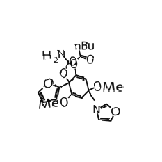 CCCCC(=O)OC1=CC(C)(OC)C=C(OC)C1(OC(N)=O)c1ccco1.c1cocn1